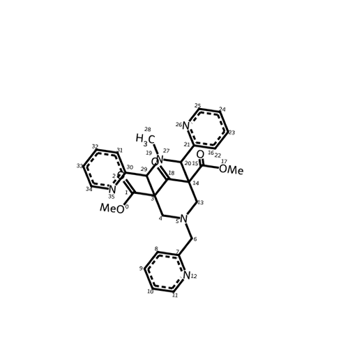 COC(=O)C12CN(Cc3ccccn3)CC(C(=O)OC)(C1=O)C(c1ccccn1)N(C)C2c1ccccn1